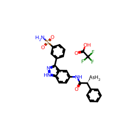 NS(=O)(=O)c1cccc(-c2n[nH]c3ccc(NC(=O)[C@H]([AsH2])c4ccccc4)cc23)c1.O=C(O)C(F)(F)F